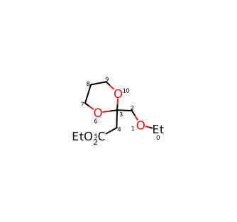 CCOCC1(CC(=O)OCC)OCCCO1